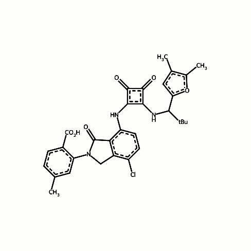 Cc1ccc(C(=O)O)c(N2Cc3c(Cl)ccc(Nc4c(NC(c5cc(C)c(C)o5)C(C)(C)C)c(=O)c4=O)c3C2=O)c1